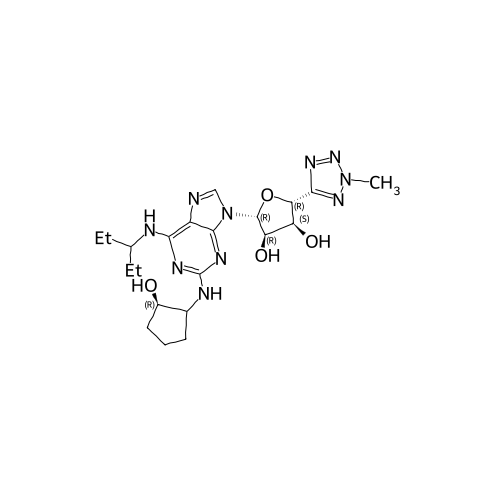 CCC(CC)Nc1nc(NC2CCC[C@H]2O)nc2c1ncn2[C@@H]1O[C@H](c2nnn(C)n2)[C@@H](O)[C@H]1O